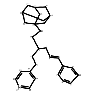 [CH](CC(C/C=C/c1ccccc1)CCC12CC3CC(CC(C3)C1)C2)c1ccncc1